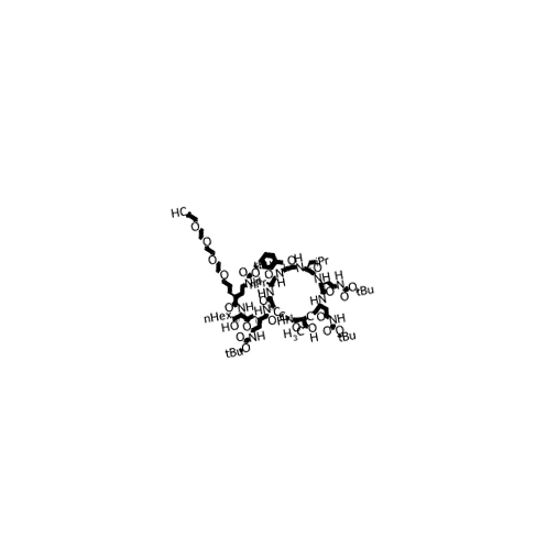 C#CCOCCOCCOCCOCCC[C@@H](CCNC(=O)OC(C)(C)C)C(=O)N[C@H](C(=O)C[C@@H](CCNC(=O)OC(C)(C)C)C(=O)N[C@H]1CCNC(=O)C([C@@H](C)O)CC(=O)C(CCNC(=O)OC(C)(C)C)NC(=O)[C@H](CCNC(=O)OC(C)(C)C)NC(=O)[C@H](CC(C)C)NC(=O)[C@@H](Cc2ccccc2)NC(=O)[C@H](CCC)NC1=O)[C@H](O)CCCCCC